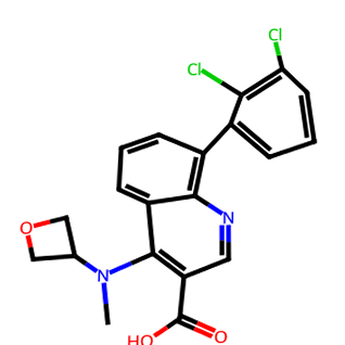 CN(c1c(C(=O)O)cnc2c(-c3cccc(Cl)c3Cl)cccc12)C1COC1